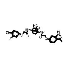 Cc1n[nH]c2cc(OCC(=O)NC34CCC(NC(=O)COc5ccc(Cl)c(F)c5)(CC3)C[C@@H]4O)ccc12